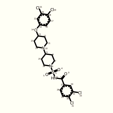 O=C(NS(=O)(=O)N1CCC(N2CCC(Oc3ccc(Cl)c(Cl)c3)CC2)CC1)c1ccc(Cl)c(Cl)c1